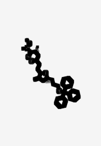 C=C1C[C@H](CCCOC(c2ccccc2)(c2ccccc2)c2ccccc2)OC1CCC(=O)C[C@@H](C)C(=O)N(C)OC